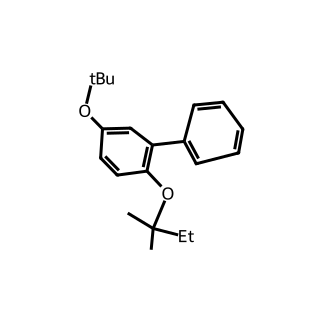 CCC(C)(C)Oc1ccc(OC(C)(C)C)cc1-c1ccccc1